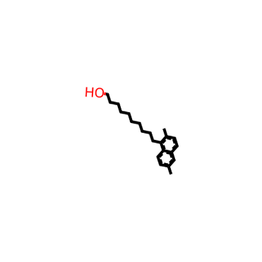 Cc1ccc2c(CCCCCCCCCCO)c(C)ccc2c1